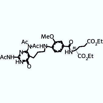 CCOC(=O)CC[C@@H](NC(=O)c1ccc(NCCCc2c(N(C(C)=O)C(C)=O)nc(NC(C)=O)[nH]c2=O)c(OC)c1)C(=O)OCC